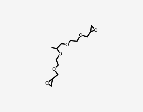 CC(COCCOCC1CO1)OCCOCC1CO1